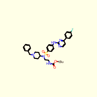 CC(C)(C)OC(=O)NCCN(C1CCN(Cc2ccccc2)CC1)S(=O)(=O)c1ccc(Nc2nccc(-c3ccc(F)cc3)n2)cc1